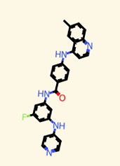 Cc1ccc2nccc(Nc3ccc(C(=O)Nc4cc(F)cc(Nc5ccncc5)c4)cc3)c2c1